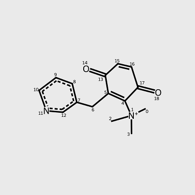 C[N+](C)(C)C1=C(Cc2cccnc2)C(=O)C=CC1=O